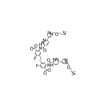 COC(=O)c1cc(F)c(CCc2cc(NC(=O)c3ccc(-c4cnn(COCC[Si](C)(C)C)c4)nn3)c(C(=O)OC)cc2F)cc1NC(=O)c1ccc(-c2cnn(COCC[Si](C)(C)C)c2)nn1